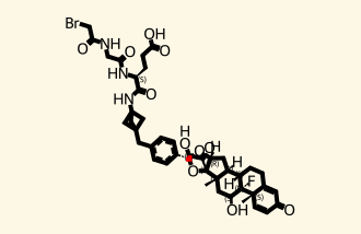 C[C@]12C=CC(=O)C=C1CC[C@H]1[C@@H]3C[C@H]4O[C@@H](c5ccc(CC67CC(NC(=O)[C@H](CCC(=O)O)NC(=O)CNC(=O)CBr)(C6)C7)cc5)O[C@@]4(C(=O)CO)[C@@]3(C)C[C@H](O)[C@@]12F